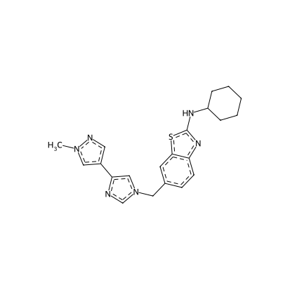 Cn1cc(-c2cn(Cc3ccc4nc(NC5CCCCC5)sc4c3)cn2)cn1